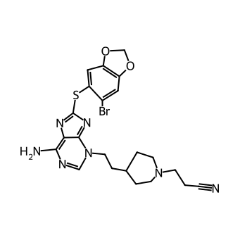 N#CCCN1CCC(CCn2cnc(N)c3nc(Sc4cc5c(cc4Br)OCO5)nc2-3)CC1